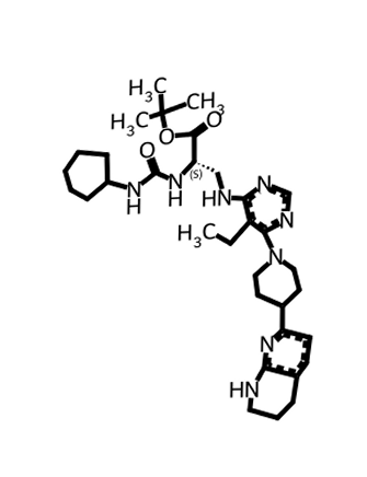 CCc1c(NC[C@H](NC(=O)NC2CCCCC2)C(=O)OC(C)(C)C)ncnc1N1CCC(c2ccc3c(n2)NCCC3)CC1